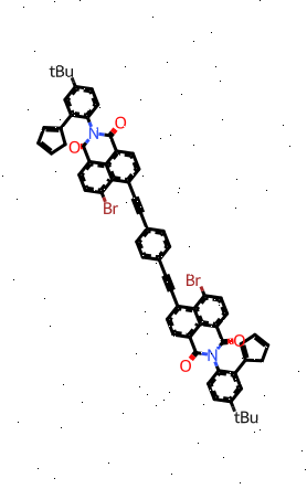 CC(C)(C)c1ccc(N2C(=O)c3ccc(Br)c4c(C#Cc5ccc(C#Cc6ccc7c8c(ccc(Br)c68)C(=O)N(c6ccc(C(C)(C)C)cc6C6=CC=CC6)C7=O)cc5)ccc(c34)C2=O)c(C2=CC=CC2)c1